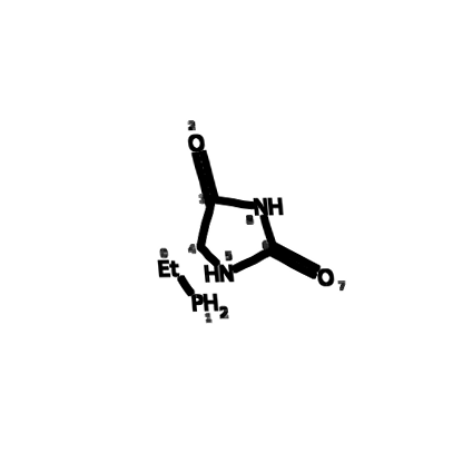 CCP.O=C1CNC(=O)N1